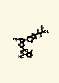 CC(C)C(=O)Nc1nc2cc(-c3cn(C)c4ncc(C(=O)N[C@@H](C)c5cccc(F)c5)cc34)ccn2n1